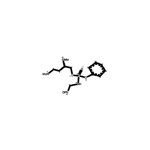 CNCCC(COP(=O)(NCC=O)Oc1ccccc1)OC